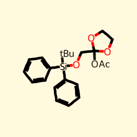 CC(=O)OC1(CO[Si](c2ccccc2)(c2ccccc2)C(C)(C)C)OCCO1